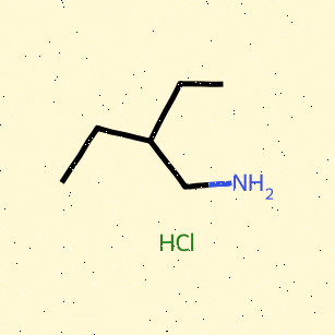 CCC(CC)CN.Cl